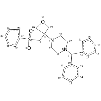 O=S(=O)(CC1(N2CCN(C(c3ccccc3)c3ccccc3)CC2)COC1)c1ccccc1